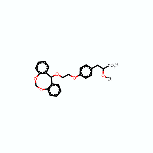 CCOC(Cc1ccc(OCCOC2c3ccccc3OCOc3ccccc32)cc1)C(=O)O